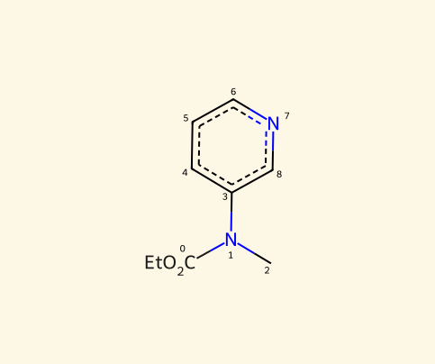 CCOC(=O)N(C)c1cccnc1